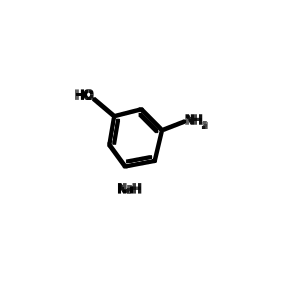 Nc1cccc(O)c1.[NaH]